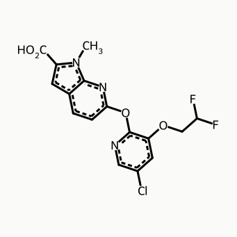 Cn1c(C(=O)O)cc2ccc(Oc3ncc(Cl)cc3OCC(F)F)nc21